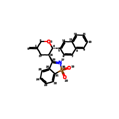 C=C1CO[C@H](c2ccc3ccccc3c2)[C@@H](C2=NS(=O)(=O)c3ccccc32)C1